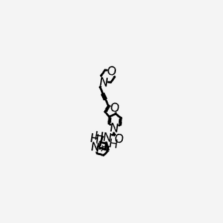 C[C@H]1[C@H](NC(=O)N2C=CC3OC(C#CCN4CCOCC4)=CC3=C2)C2CCN1CC2